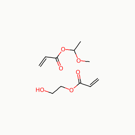 C=CC(=O)OC(C)OC.C=CC(=O)OCCO